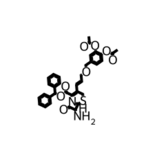 CC(=O)Oc1ccc(COC/C=C/C2=C(C(=O)OC(c3ccccc3)c3ccccc3)N3C(=O)C(N)[C@@H]3SC2)cc1OC(C)=O